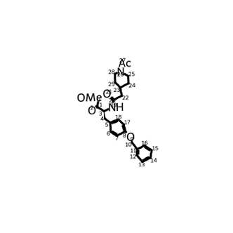 COC(=O)[C@H](Cc1ccc(OCc2ccccc2)cc1)NC(=O)CC1CCN(C(C)=O)CC1